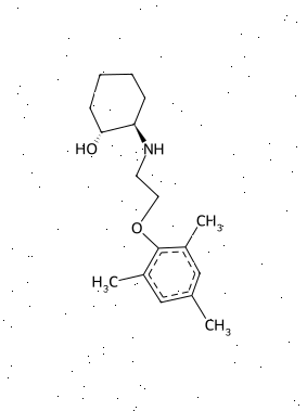 Cc1cc(C)c(OCCN[C@@H]2CCCC[C@H]2O)c(C)c1